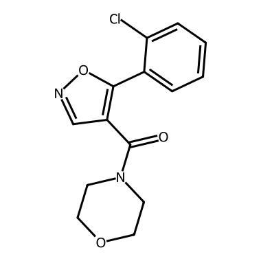 O=C(c1cnoc1-c1ccccc1Cl)N1CCOCC1